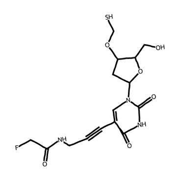 O=C(CF)NCC#Cc1cn(C2CC(OCS)C(CO)O2)c(=O)[nH]c1=O